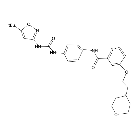 CC(C)(C)c1cc(NC(=O)Nc2ccc(NC(=O)c3cc(OCCN4CCOCC4)ccn3)cc2)no1